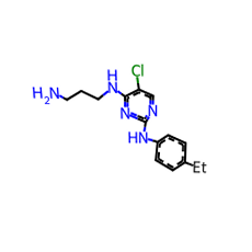 CCc1ccc(Nc2ncc(Cl)c(NCCCN)n2)cc1